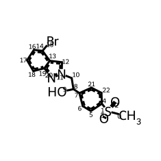 CS(=O)(=O)c1ccc(C(O)Cn2cc3c(Br)cccc3n2)cc1